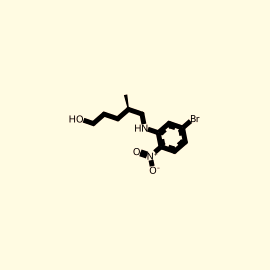 C[C@H](CCCO)CNc1cc(Br)ccc1[N+](=O)[O-]